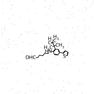 C=C(C)C(C)(C)c1cc(-c2cccs2)ccc1NCCCCCC=O